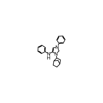 C1=C(Nc2ccccc2)N(C2CC3CCC2C3)CN1c1ccccc1